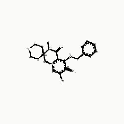 CN1C(=O)c2c(OCc3ccccc3)c(=O)c(Br)cn2CC12CCOCC2